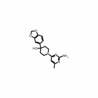 Cc1cc(N2CCC(O)(c3ccc4c(c3)OCO4)CC2)nc(N)n1